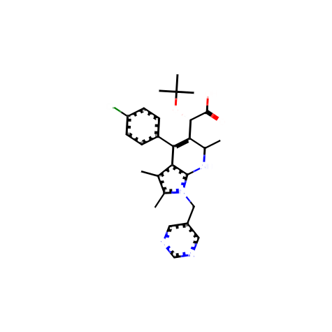 Cc1c2c(n(Cc3cncnc3)c1C)NC(C)C([C@H](OC(C)(C)C)C(=O)O)=C2c1ccc(Cl)cc1